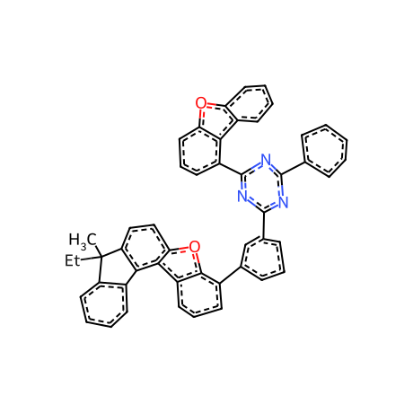 CCC1(C)c2ccccc2-c2c1ccc1oc3c(-c4cccc(-c5nc(-c6ccccc6)nc(-c6cccc7oc8ccccc8c67)n5)c4)cccc3c21